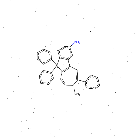 C[C@@H]1C=CC2=C(C=C1c1ccccc1)c1cc(N)ccc1C2(c1ccccc1)c1ccccc1